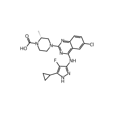 C[C@@H]1CN(c2nc(Nc3n[nH]c(C4CC4)c3F)c3cc(Cl)ccc3n2)CCN1C(=O)O